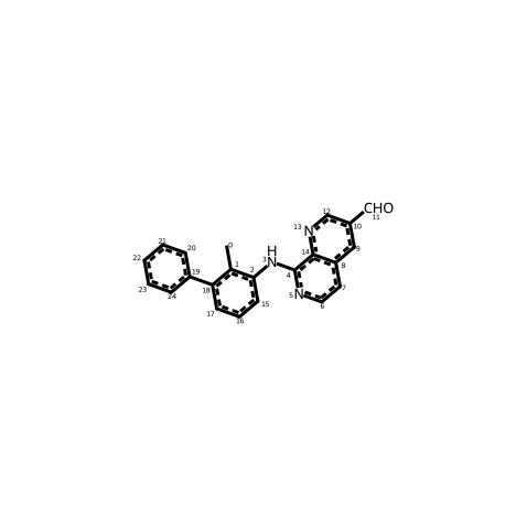 Cc1c(Nc2nccc3cc(C=O)cnc23)cccc1-c1ccccc1